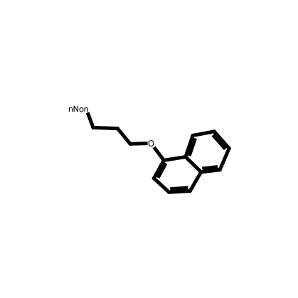 CCCCCCCCCCCCOc1cccc2ccccc12